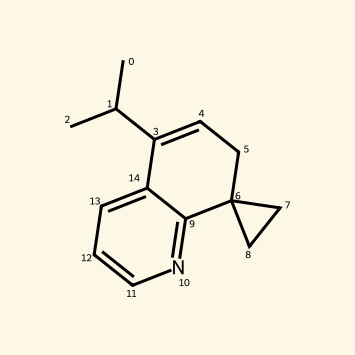 CC(C)C1=CCC2(CC2)c2ncccc21